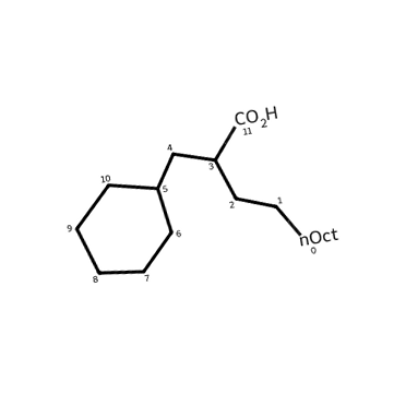 CCCCCCCCCCC(CC1CCCCC1)C(=O)O